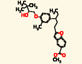 CCC(CCc1cc2cc(C(=O)OC)ccc2o1)c1ccc(OCC(O)C(C)(C)C)c(C)c1